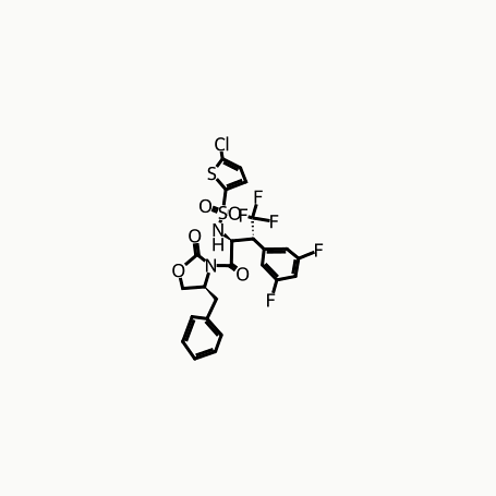 O=C1OC[C@H](Cc2ccccc2)N1C(=O)[C@@H](NS(=O)(=O)c1ccc(Cl)s1)[C@@H](c1cc(F)cc(F)c1)C(F)(F)F